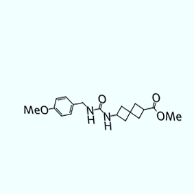 COC(=O)C1CC2(CC(NC(=O)NCc3ccc(OC)cc3)C2)C1